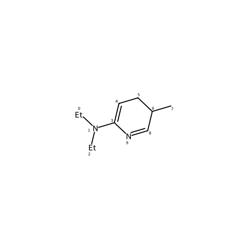 CCN(CC)C1=CCC(C)C=N1